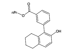 CCCOC(=O)c1cccc(-c2c(O)ccc3c2CCCC3)c1